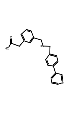 O=C(O)Cc1cccc(CNCc2ccc(-c3cncnc3)cc2)c1